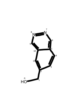 OCc1ccc2cnncc2c1